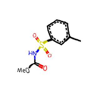 COC(=O)NS(=O)(=O)c1cccc(C)c1